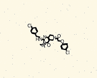 CN(C)n1c(NCCc2ccc(Cl)cc2)nc2c(c1=O)CN(C(=O)COc1ccc(Cl)cc1)CC2